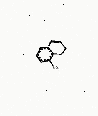 O=[N+]([O-])c1cccc2c1OCC=C2